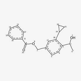 CC(O)c1ccc(COC(=O)c2ccccc2)cc1C1CC1